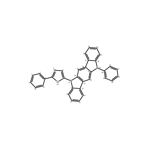 c1ccc(-c2ncc(-n3c4ccccc4c4cc5c(cc43)c3ccccc3n5-c3ccccc3)o2)cc1